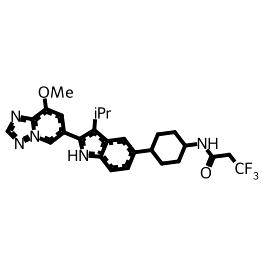 COc1cc(-c2[nH]c3ccc(C4CCC(NC(=O)CC(F)(F)F)CC4)cc3c2C(C)C)cn2ncnc12